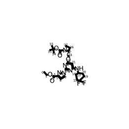 CCOC(=O)c1ccn(-c2nc(NC3CCC(F)(F)CC3)cc(OCC3CCN3C(=O)OC(C)(C)C)n2)n1